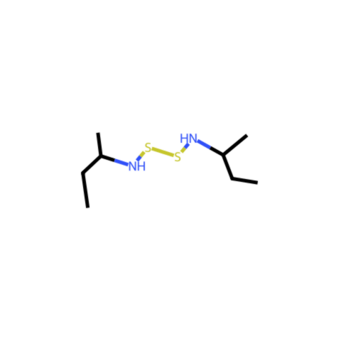 CCC(C)NSSNC(C)CC